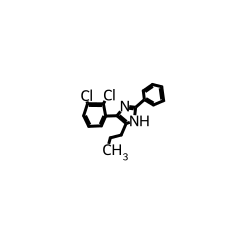 CCCc1[nH]c(-c2ccccc2)nc1-c1cccc(Cl)c1Cl